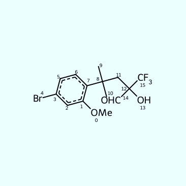 COc1cc(Br)ccc1C(C)(C)CC(O)(C=O)C(F)(F)F